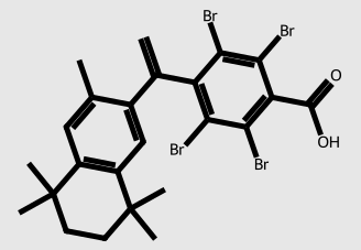 C=C(c1cc2c(cc1C)C(C)(C)CCC2(C)C)c1c(Br)c(Br)c(C(=O)O)c(Br)c1Br